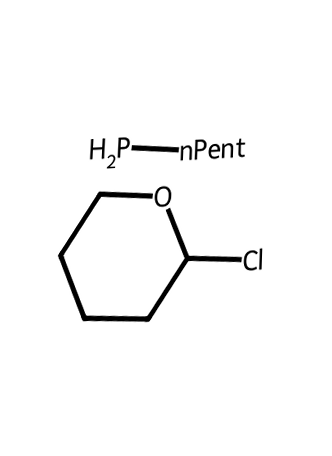 CCCCCP.ClC1CCCCO1